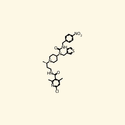 Cc1cc(Cl)nc(C)c1C(=O)NCC[C@@H](C)N1CCC(N(Cc2ccsc2)C(=O)NCc2ccc([N+](=O)[O-])cc2)CC1